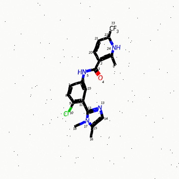 CC1=C(C(=O)Nc2ccc(Cl)c(-c3ncc(C)n3C)c2)C=CC(C(F)(F)F)N1